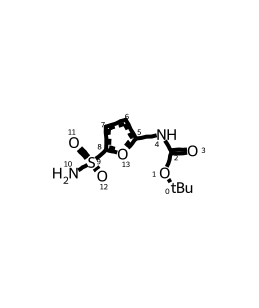 CC(C)(C)OC(=O)Nc1ccc(S(N)(=O)=O)o1